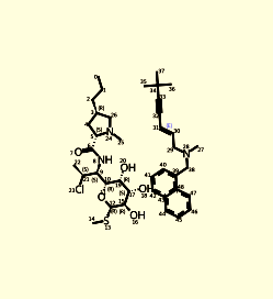 CCC[C@@H]1C[C@@H](C(=O)N[C@@H]([C@H]2O[C@H](SC)[C@H](O)[C@@H](O)[C@H]2O)[C@H](C)Cl)N(C)C1.CN(C/C=C/C#CC(C)(C)C)Cc1cccc2ccccc12